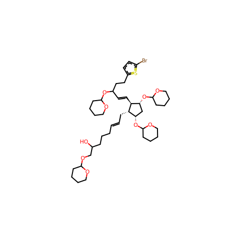 OC(CCCC=CC[C@@H]1[C@@H](C=CC(CCc2ccc(Br)s2)OC2CCCCO2)[C@H](OC2CCCCO2)C[C@@H]1OC1CCCCO1)COC1CCCCO1